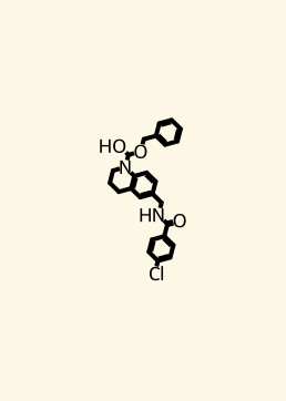 O=C(NCc1ccc2c(c1)CCCN2C(O)OCc1ccccc1)c1ccc(Cl)cc1